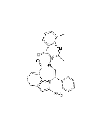 Cc1cccc2c(=O)n(N3C=C(c4ccccc4)n4c([N+](=O)[O-])cc5c4C(=CCC5)C3=O)c(C)nc12